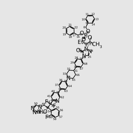 CC[C@@H]([C@H](C)OP(=O)(OCc1ccccc1)OCc1ccccc1)n1ncn(-c2ccc(C3CCN(c4ccc(-c5ccc(C(F)(F)C(O)(Cn6cnnn6)c6ccccc6F)nc5)cc4)CC3)cc2)c1=O